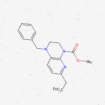 CCOC(=O)Cc1ccc2c(n1)N(C(=O)OC(C)(C)C)CCN2Cc1ccccc1